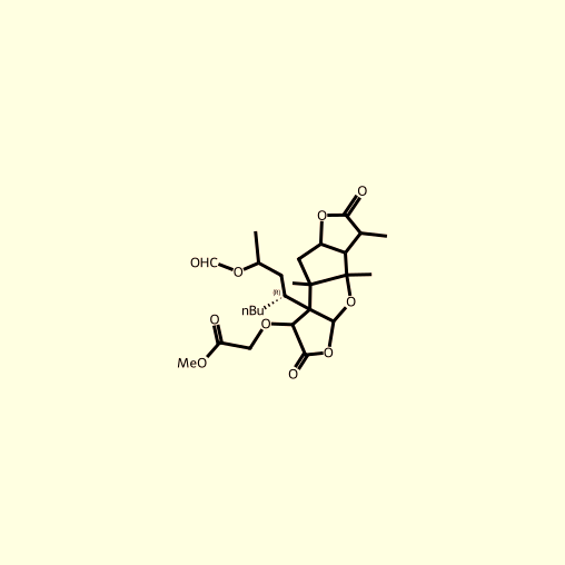 CCCC[C@H](CC(C)OC=O)C12C(OC(=O)C1OCC(=O)OC)OC1(C)C3C(CC12C)OC(=O)C3C